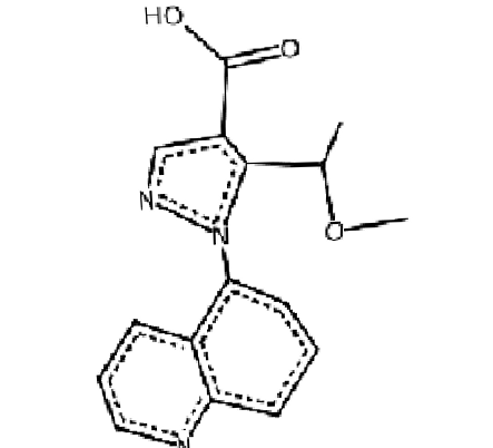 COC(C)c1c(C(=O)O)cnn1-c1cccc2ncccc12